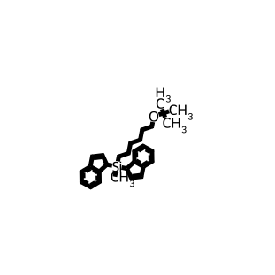 CC(C)(C)OCCCCCC[Si](C)(C1C=Cc2ccccc21)C1C=Cc2ccccc21